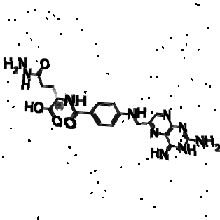 N=c1[nH]c(N)nc2ncc(CNc3ccc(C(=O)N[C@@H](CCC(=O)NN)C(=O)O)cc3)nc12